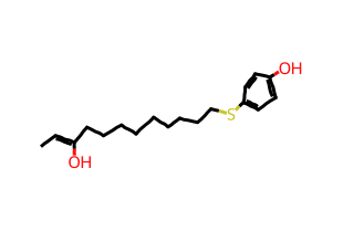 CC=C(O)CCCCCCCCCSc1ccc(O)cc1